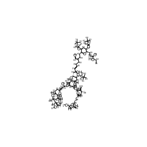 C=C1C[C@@H]2CC[C@]34C[C@@H](OC)[C@H](O3)[C@H]3C[C@@H](O4)[C@H]4O[C@H](CC[C@@H]4O3)CC(=O)O[C@@H]3[C@@H](C)[C@@H]4O[C@H](CC(O)/C=C/CCC(C=O)CC[C@@H]5O[C@H](CNC(=O)OCC)[C@H](O[Si](C)(C)C(C)(C)C)C[C@@H]5O[Si](C)(C)C(C)(C)C)C(O[Si](C)(C)C(C)(C)C)C[C@@H]4O[C@H]3C[C@H]3O[C@@H](CC[C@@H]1O2)C[C@@H](C)C3=C